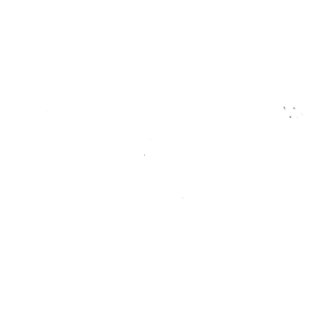 COc1ccc(C2OCC(CCCCO)O2)cc1